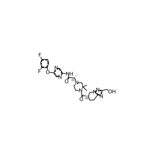 C[C@@H](C(=O)Nc1cnc(Oc2ccc(F)cc2F)cn1)N1CCN(C(=O)[C@@H]2CCc3nc(CO)nn3C2)C(C)(C)C1